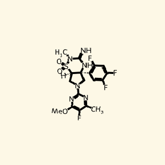 COc1nc(N2C[C@@H]3[C@](c4cc(F)c(F)cc4F)(C2)NC(=N)N(C)S3(=O)=O)nc(C)c1F